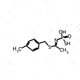 CC(=NP(=O)(O)S)SCc1ccc(C)cc1